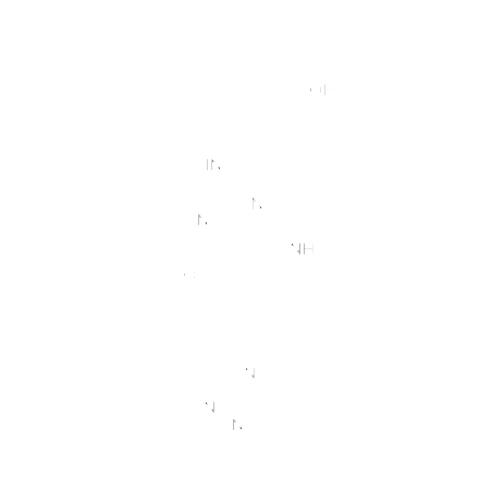 COc1nc(NC2CCC(C)(O)CC2)nc2[nH]cc(-c3ccc4nncn4c3)c12